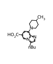 CCCCc1cnc2c(N3CCC(C)CC3)cc(C(=O)O)cn12